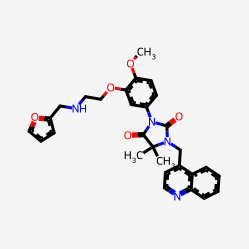 COc1ccc(N2C(=O)N(Cc3ccnc4ccccc34)C(C)(C)C2=O)cc1OCCNCc1ccco1